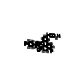 CCOc1ccc(CC(=O)O)cc1-c1ccc(F)c2c1CN(C(=O)CC(C)(C)c1ccc(F)cc1)CC2